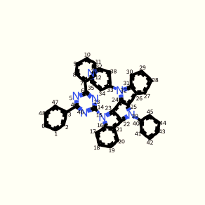 c1ccc(-c2nc(-c3ccccc3)nc(-n3c4ccccc4c4c3c3c(c5ccccc5n3-c3ccncc3)n4-c3ccccc3)n2)cc1